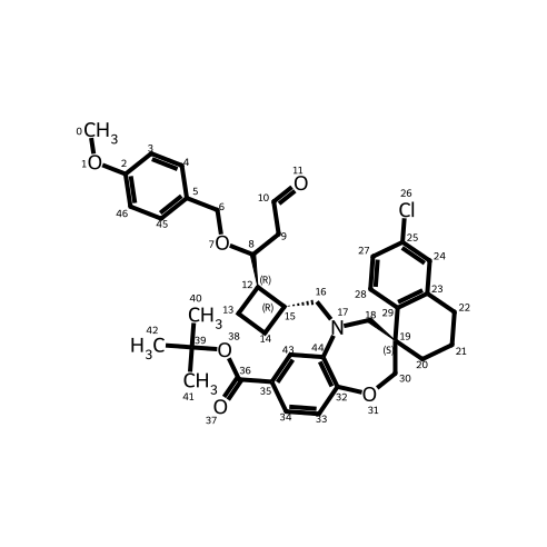 COc1ccc(COC(CC=O)[C@@H]2CC[C@H]2CN2C[C@@]3(CCCc4cc(Cl)ccc43)COc3ccc(C(=O)OC(C)(C)C)cc32)cc1